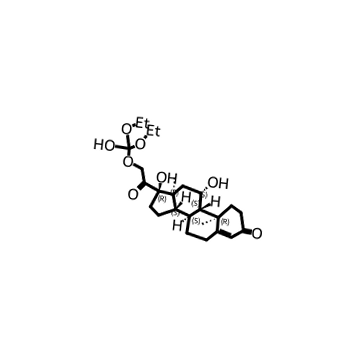 CCOC(O)(OCC)OCC(=O)[C@@]1(O)CC[C@H]2[C@@H]3CCC4=CC(=O)CC[C@]4(C)[C@H]3[C@@H](O)C[C@@]21C